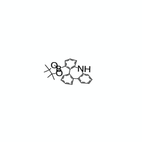 CC1(C)OB(c2cccc3c2-c2ccccc2-c2ccccc2N3)OC1(C)C